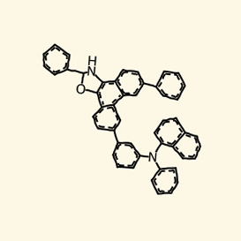 c1ccc(-c2ccc3c4c(c5ccc(-c6cccc(N(c7ccccc7)c7cccc8ccccc78)c6)cc5c3c2)OC(c2ccccc2)N4)cc1